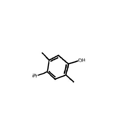 Cc1cc(C(C)C)c(C)cc1O